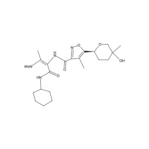 CN/C(C)=C(/NC(=O)c1noc([C@@H]2CCC(C)(O)CO2)c1C)C(=O)NC1CCCCC1